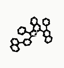 c1ccc(-c2cc3ccccc3cc2-c2cc3ccccc3c3c(-c4ccccc4)c(-c4cccc(-c5cccc6ccccc56)c4)nn23)cc1